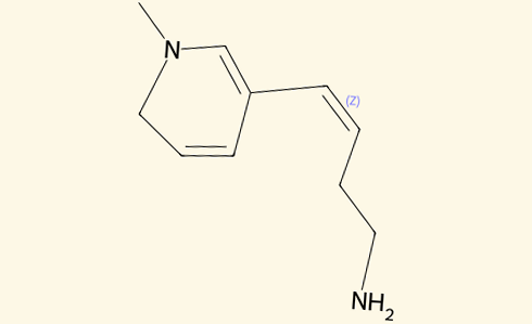 CN1C=C(/C=C\CCN)C=CC1